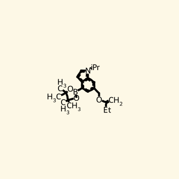 C=C(CC)OCc1cc(B2OC(C)(C)C(C)(C)O2)c2ccn(C(C)C)c2c1